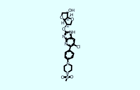 CS(=O)(=O)N1CCN(c2ccc(-c3nc4nc(O[C@@H]5CO[C@H]6[C@@H]5OC[C@H]6O)[nH]c4cc3Cl)cc2)CC1